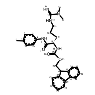 Cc1ccc(NC(=O)[C@H](CCCNC(=N)N(C)C)NC(=O)OCC2c3ccccc3-c3ccccc32)cc1